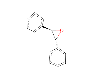 c1ccc([C@H]2O[C@@H]2c2ccccc2)cc1